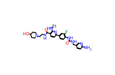 CCNc1nc(-c2ccc(NC(=O)NCc3ccc(N)nc3)c(F)c2)ccc1C(=O)NCCN1CCC(O)CC1